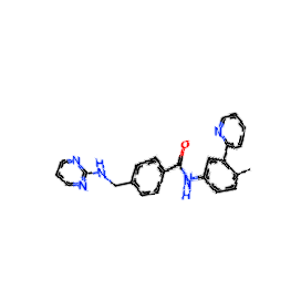 Cc1ccc(NC(=O)c2ccc(CNc3ncccn3)cc2)cc1-c1ccccn1